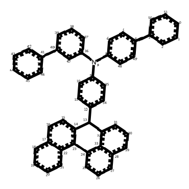 c1ccc(-c2ccc(N(c3ccc(C4c5ccc6ccccc6c5-c5cccc6cccc4c56)cc3)c3cccc(-c4ccccc4)c3)cc2)cc1